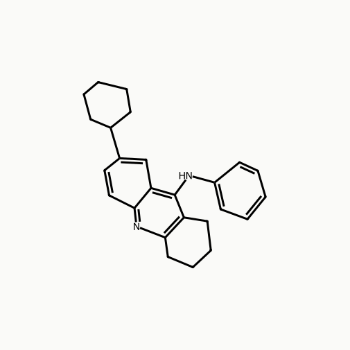 c1ccc(Nc2c3c(nc4ccc(C5CCCCC5)cc24)CCCC3)cc1